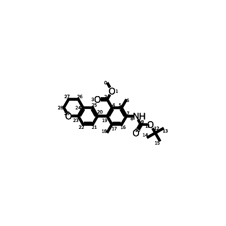 COC(=O)c1c(C)c(NC(=O)OC(C)(C)C)cc(C)c1-c1ccc2c(c1)CCCO2